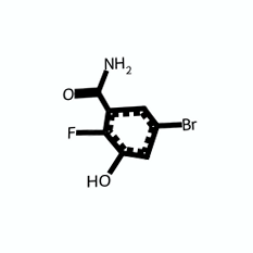 NC(=O)c1cc(Br)cc(O)c1F